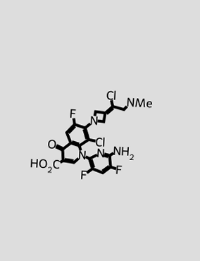 CNCC(Cl)=C1CN(c2c(F)cc3c(=O)c(C(=O)O)cn(-c4nc(N)c(F)cc4F)c3c2Cl)C1